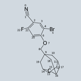 N#Cc1cc(Br)c(OCC23CC4CCC(CC(C4)C2)C3)cc1F